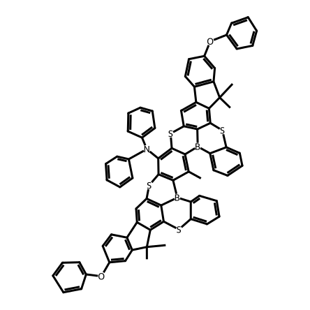 Cc1c2c(c(N(c3ccccc3)c3ccccc3)c3c1B1c4ccccc4Sc4c1c(cc1c4C(C)(C)c4cc(Oc5ccccc5)ccc4-1)S3)Sc1cc3c(c4c1B2c1ccccc1S4)C(C)(C)c1cc(Oc2ccccc2)ccc1-3